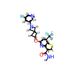 CNC(=O)c1csc2c(C(F)(F)F)cc(OC3CC4(C3)CN(c3cncc(F)c3)C4)nc12